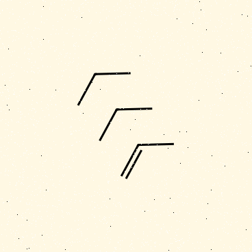 C=CC.CCC.CCC